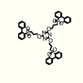 O=P1(CCCOc2nc(OCCCP3(=O)Oc4ccccc4-c4ccccc43)nc(OCCCP3(=O)Oc4ccccc4-c4ccccc43)n2)Oc2ccccc2-c2ccccc21